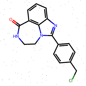 O=C1NCCn2c(-c3ccc(CCl)cc3)nc3cccc1c32